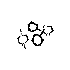 CN1CCN(C)CC1.c1ccc(C2(c3ccccc3)OCCO2)cc1